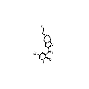 Cn1cc(Br)cc(Nc2cc3n(n2)CCN(CCF)C3)c1=O